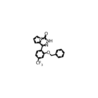 O=c1[nH]nc(-c2ccc(C(F)(F)F)cc2OCc2ccccc2)c2cccn12